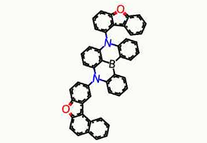 c1ccc2c(c1)B1c3ccccc3N(c3cccc4oc5ccccc5c34)c3cccc(c31)N2c1ccc2oc3ccc4ccccc4c3c2c1